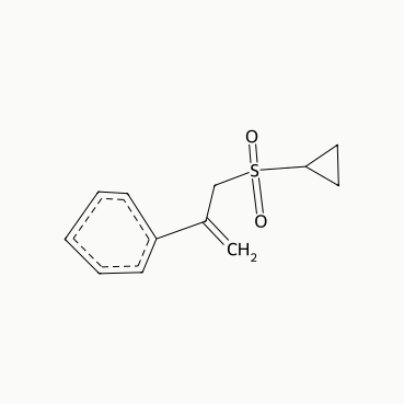 C=C(CS(=O)(=O)C1CC1)c1ccccc1